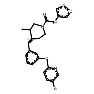 CC1CN(C(=O)Nc2cnoc2)CC/C1=C\c1cccc(Oc2ccc(Br)cn2)c1